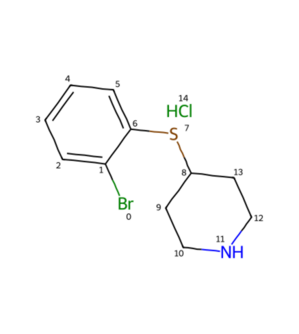 Brc1ccccc1SC1CCNCC1.Cl